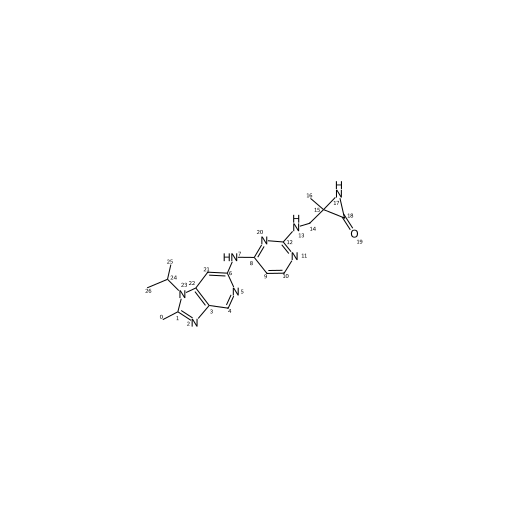 Cc1nc2cnc(Nc3ccnc(NCC4(C)NC4=O)n3)cc2n1C(C)C